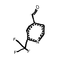 O=[C]c1ccnc(C(F)(F)F)c1